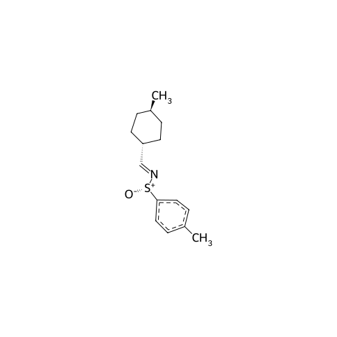 Cc1ccc([S@+]([O-])/N=C/[C@H]2CC[C@H](C)CC2)cc1